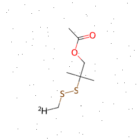 [2H]CSSC(C)(C)COC(C)=O